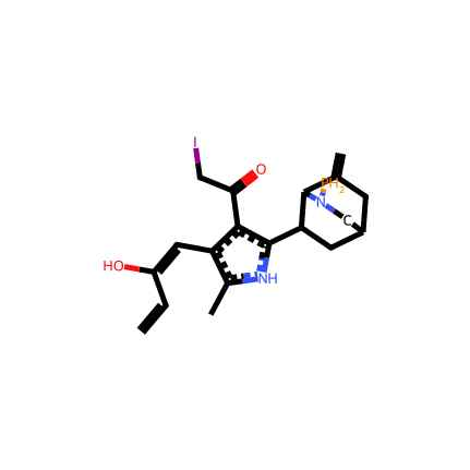 C=C/C(O)=C\c1c(C)[nH]c(C2CC3CC(=C)C2N(P)C3)c1C(=O)CI